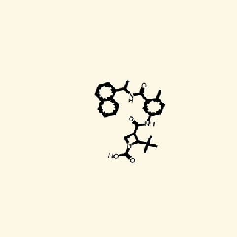 Cc1ccc(NC(=O)C2CN(C(=O)O)C2C(C)(C)C)cc1C(=O)NC(C)c1cccc2ccccc12